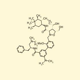 COc1c(CN2O[C@@H](CO)[C@@H]([C@H](C)O)[C@H]2C(=O)N[C@H]2C[C@@H](C)C(C)(C)[C@@H](C)[C@@H]2C)cccc1-c1cc(C(=O)N[C@@H](Cc2ccccc2)CN(C)C)cc(N(C)C)c1